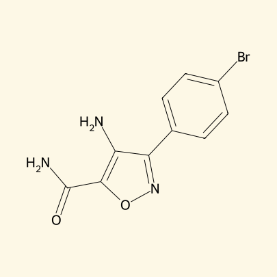 NC(=O)c1onc(-c2ccc(Br)cc2)c1N